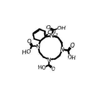 CC12CC=CCC1N(C(=O)O)CCN(C(=O)O)CCN(C(=O)O)CCN2C(=O)O